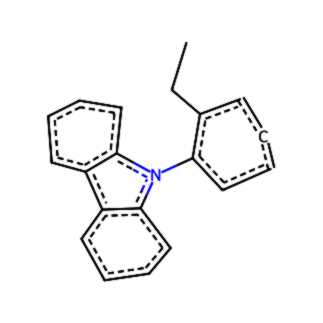 CCc1ccccc1-n1c2ccccc2c2ccccc21